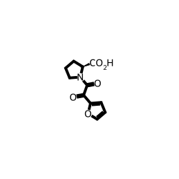 O=C(C(=O)N1CCC[C@H]1C(=O)O)c1ccco1